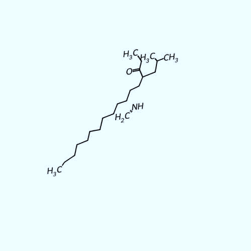 C=N.CCCCCCCCCCCCCC(CC(C)C)C(=O)CC